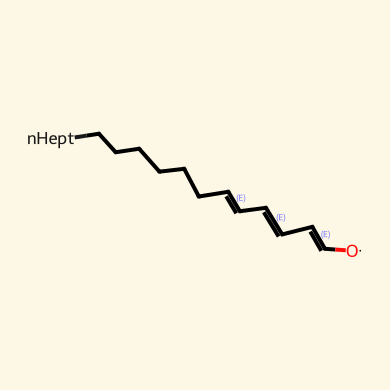 CCCCCCCCCCCCC/C=C/C=C/C=C/[O]